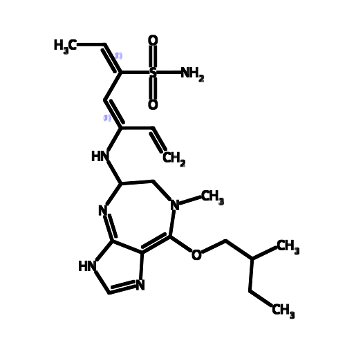 C=C/C(=C\C(=C/C)S(N)(=O)=O)NC1CN(C)C(OCC(C)CC)=c2nc[nH]c2=N1